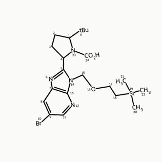 CC(C)(C)C1CCC(c2nc3cc(Br)cnc3n2COCC[Si](C)(C)C)N1C(=O)O